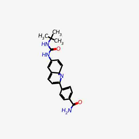 CC(C)(C)NC(=O)Nc1ccc2nc(-c3ccc(C(N)=O)cc3)ccc2c1